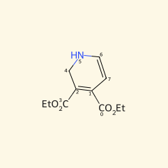 CCOC(=O)C1=C(C(=O)OCC)CNC=C1